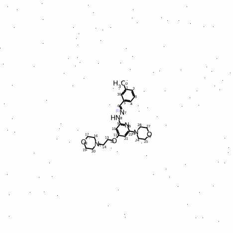 Cc1cccc(/C=N/Nc2cc(OCCN3CCOCC3)cc(N3CCOCC3)n2)c1